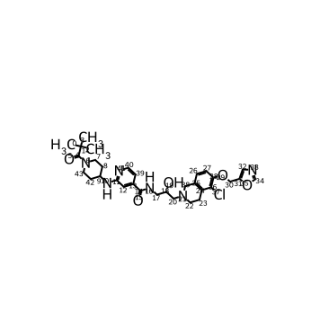 CC(C)(C)C(=O)N1CCC(Nc2cc(C(=O)NC[C@H](O)CN3CCc4c(ccc(OCc5cnco5)c4Cl)C3)ccn2)CC1